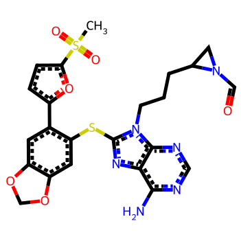 CS(=O)(=O)c1ccc(-c2cc3c(cc2Sc2nc4c(N)ncnc4n2CCCC2CN2C=O)OCO3)o1